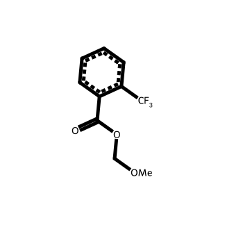 [CH2]OCOC(=O)c1ccccc1C(F)(F)F